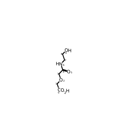 O=C(O)COCC(=O)NCCO